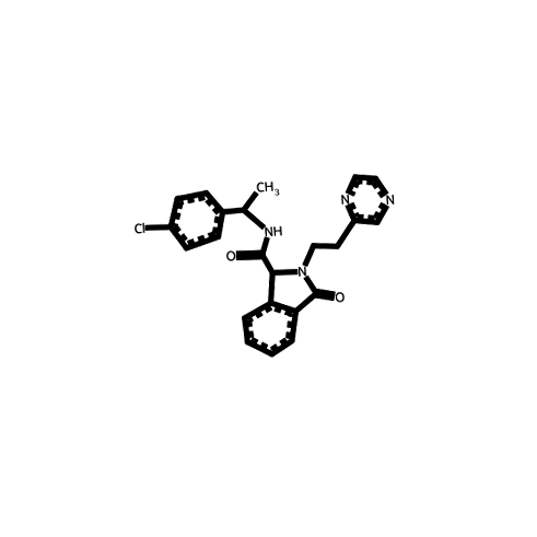 CC(NC(=O)C1c2ccccc2C(=O)N1CCc1cnccn1)c1ccc(Cl)cc1